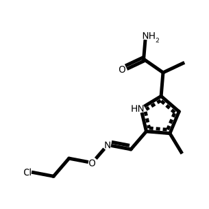 Cc1cc(C(C)C(N)=O)[nH]c1/C=N/OCCCl